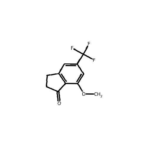 COc1cc(C(F)(F)F)cc2c1C(=O)CC2